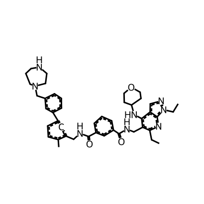 CCc1nc2c(cnn2CC)c(NC2CCOCC2)c1CNC(=O)c1cccc(C(=O)NCc2cc(-c3cccc(CN4CCCNCC4)c3)ccc2C)c1